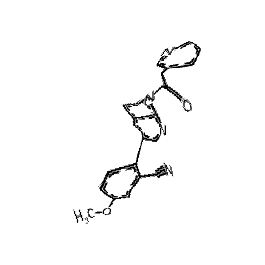 COc1ccc(-c2cnc3c(ccn3C(=O)c3cccnc3)c2)c(C#N)c1